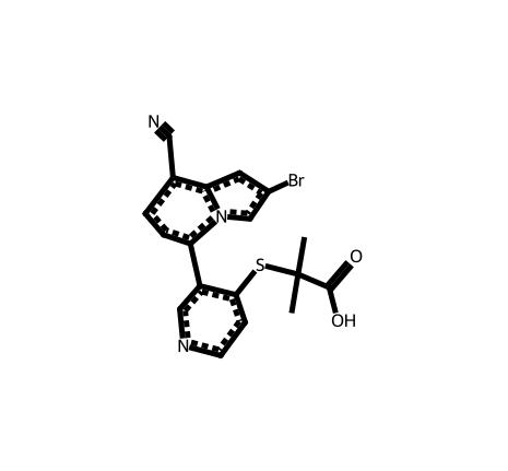 CC(C)(Sc1ccncc1-c1ccc(C#N)c2cc(Br)cn12)C(=O)O